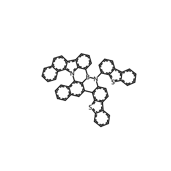 c1ccc2c3c4c(cc2c1)-c1c(ccc2c1sc1ccccc12)N(c1cccc2c1sc1ccccc12)B4c1cccc2c4ccc5ccccc5c4n-3c12